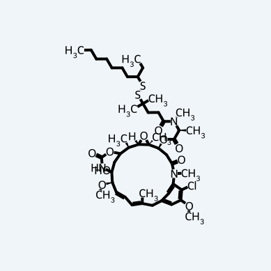 CCCCCCCC(CC)SSC(C)(C)CCC(=O)N(C)[C@@H](C)C(=O)O[C@H]1CC(=O)N(C)c2cc(cc(OC)c2Cl)C/C(C)=C/C=C/[C@@H](OC)[C@@]2(O)CC(OC(=O)N2)[C@@H](C)[C@@H]2O[C@@]12C